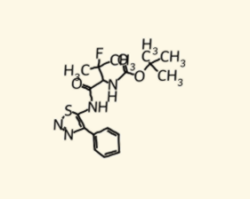 CC(C)(C)OC(=O)NC(C(=O)Nc1snnc1-c1ccccc1)C(C)(C)F